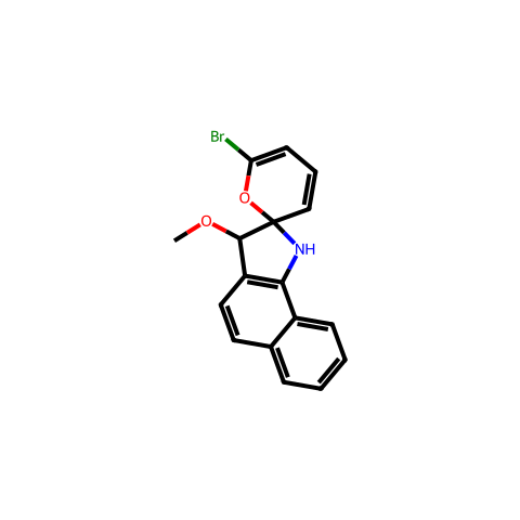 COC1c2ccc3ccccc3c2NC12C=CC=C(Br)O2